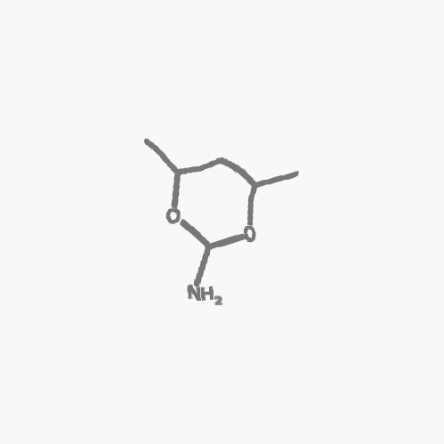 CC1CC(C)OC(N)O1